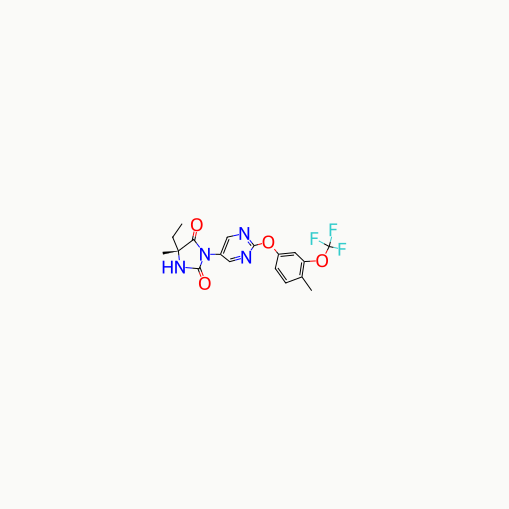 CC[C@@]1(C)NC(=O)N(c2cnc(Oc3ccc(C)c(OC(F)(F)F)c3)nc2)C1=O